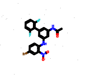 CC(=O)Nc1cc(Nc2ccc(Br)cc2[N+](=O)[O-])cc(-c2c(F)cccc2F)c1